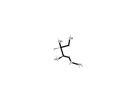 C[C@](O)(CO)[C@H](O)COP